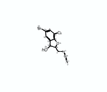 [N-]=[N+]=NCC1Oc2c(Cl)cc(Br)cc2C1O